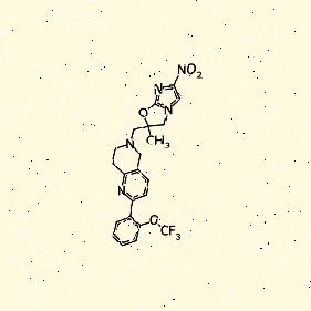 CC1(CN2CCc3nc(-c4ccccc4OC(F)(F)F)ccc3C2)Cn2cc([N+](=O)[O-])nc2O1